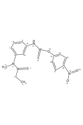 CCC(=S)N(C)c1cccc(NC(=S)Oc2ccc([N+](=O)[O-])cc2)c1